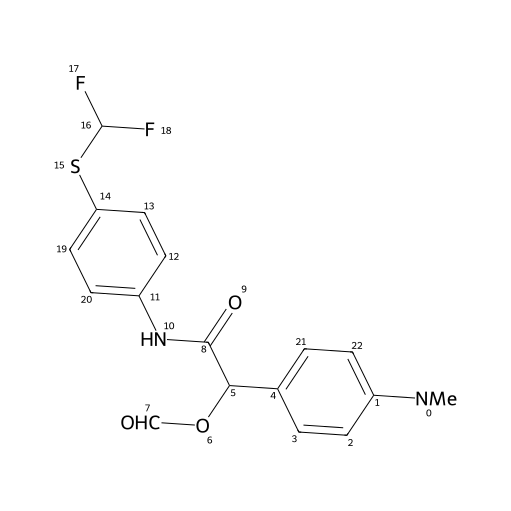 CNc1ccc(C(OC=O)C(=O)Nc2ccc(SC(F)F)cc2)cc1